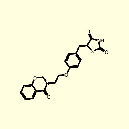 O=C1NC(=O)C(Cc2ccc(OCCN3COc4ccccc4C3=O)cc2)S1